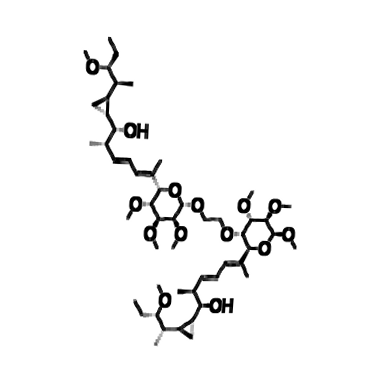 CC[C@H](OC)[C@@H](C)[C@@H]1C[C@H]1[C@H](O)[C@@H](C)/C=C/C=C(\C)[C@@H]1O[C@H](OC)[C@H](OC)[C@@H](OC)[C@H]1OCCO[C@H]1O[C@@H](/C(C)=C/C=C/[C@H](C)[C@@H](O)[C@@H]2C[C@H]2[C@H](C)[C@H](CC)OC)[C@@H](OC)[C@H](OC)[C@@H]1OC